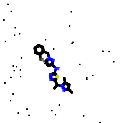 Cc1cc(C)n(C(C)c2nnc(Nc3ccn(Cc4ccccc4C(F)(F)F)n3)s2)n1